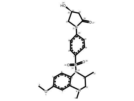 COc1ccc2c(c1)N(C)CC(C)N2S(=O)(=O)c1ccc(N2C[C@@H](O)CC2=O)cc1